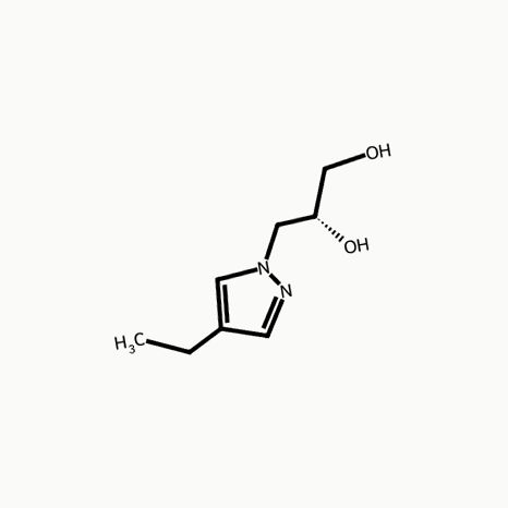 CCc1cnn(C[C@@H](O)CO)c1